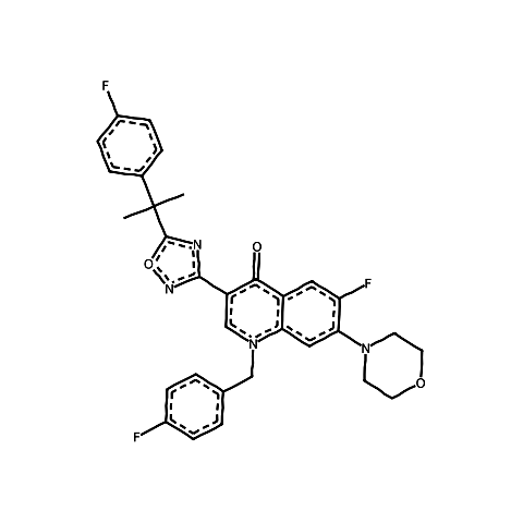 CC(C)(c1ccc(F)cc1)c1nc(-c2cn(Cc3ccc(F)cc3)c3cc(N4CCOCC4)c(F)cc3c2=O)no1